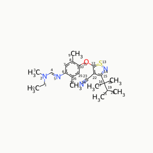 CCN(C)C=Nc1cc(C)c(Oc2snc(C(C)(C)C(C)C)c2C#N)cc1C